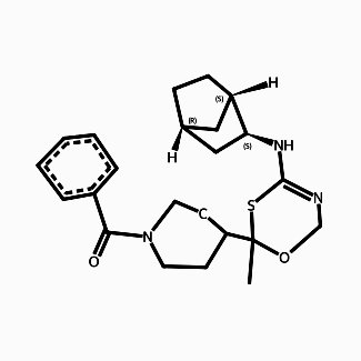 CC1(C2CCN(C(=O)c3ccccc3)CC2)OCN=C(N[C@H]2C[C@@H]3CC[C@H]2C3)S1